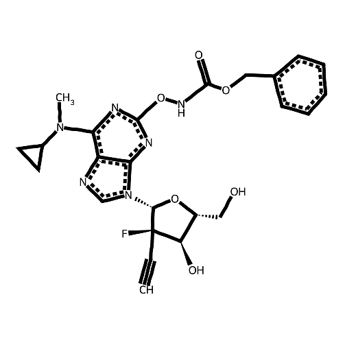 C#C[C@@]1(F)[C@H](O)[C@@H](CO)O[C@H]1n1cnc2c(N(C)C3CC3)nc(ONC(=O)OCc3ccccc3)nc21